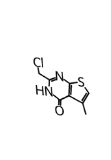 Cc1csc2nc(CCl)[nH]c(=O)c12